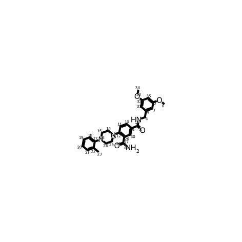 COc1cc(CNC(=O)c2ccc(N3CCN(c4ccccc4C)CC3)c(C(N)=O)c2)cc(OC)c1